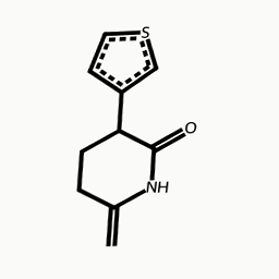 C=C1CCC(c2ccsc2)C(=O)N1